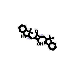 CC1(C)C(/C=C2/C(=O)C(/C=C3/Nc4ccccc4C3(C)C)=C2O)=Nc2ccccc21